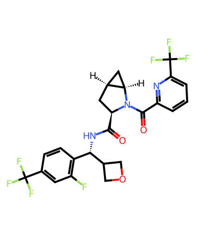 O=C(N[C@@H](c1ccc(C(F)(F)F)cc1F)C1COC1)[C@H]1C[C@H]2C[C@H]2N1C(=O)c1cccc(C(F)(F)F)n1